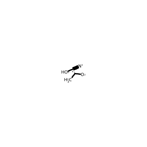 CC[O].N#CO